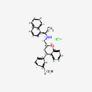 CC(NC[C@@H]1C[C@H](c2cccc(C(=O)O)c2)c2ccccc2O1)c1cccc2ccccc12.Cl